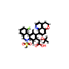 Cc1c(-c2ccc3c4c(ccnc24)CCO3)c([C@H](OC(C)(C)C)C(=O)O)c(C)c2c1-c1c(F)cccc1CN2S(C)(=O)=O